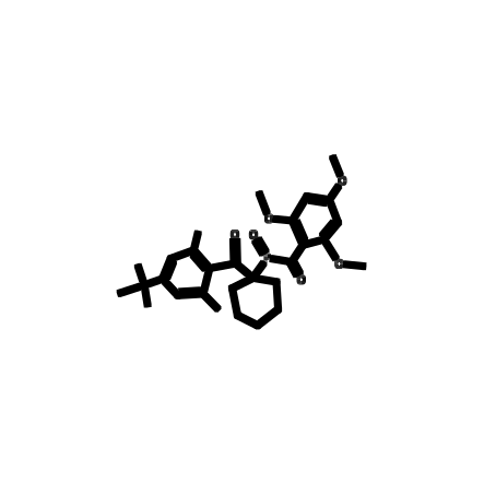 COc1cc(OC)c(C(=O)[P](=O)C2(C(=O)c3c(C)cc(C(C)(C)C)cc3C)CCCCC2)c(OC)c1